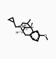 COc1ccc2c(c1)[C@@]1(C)C(C)CN(CC3CC3)[C@H](C2)[C@@H]1N